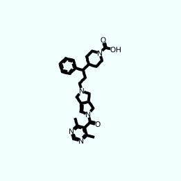 Cc1ncnc(C)c1C(=O)N1C=C2CN(CCC(c3ccccc3)C3CCN(C(=O)O)CC3)CC2C1